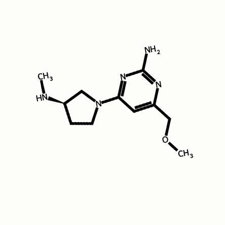 CN[C@@H]1CCN(c2cc(COC)nc(N)n2)C1